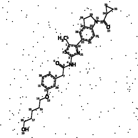 Cc1sc(NC(=O)Cc2cccc(OCCCCCO)c2)nc1-c1ccc2c(c1)CCN2C(=O)C1CC1